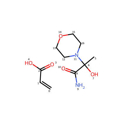 C=CC(=O)O.CC(O)(C(N)=O)N1CCOCC1